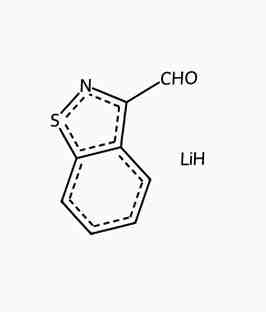 O=Cc1nsc2ccccc12.[LiH]